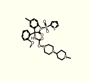 COc1ccccc1C1(NC(=O)ON2CCN(C3CCN(C)CC3)CC2)C(=O)N(S(=O)(=O)c2cccs2)c2ccc(C)cc21